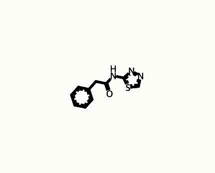 O=C(Cc1ccccc1)Nc1nncs1